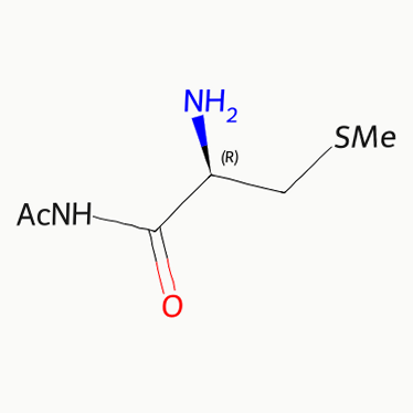 CSC[C@H](N)C(=O)NC(C)=O